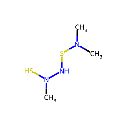 CN(S)NSN(C)C